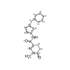 CN1N=C(C(=O)Nc2ncc(Cc3ccccc3)s2)CCC1=O